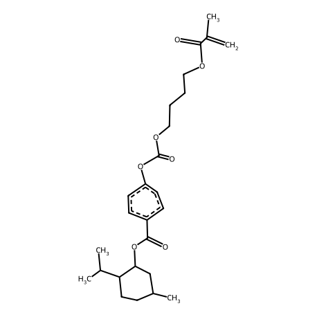 C=C(C)C(=O)OCCCCOC(=O)Oc1ccc(C(=O)OC2CC(C)CCC2C(C)C)cc1